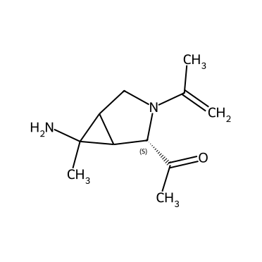 C=C(C)N1CC2C([C@H]1C(C)=O)C2(C)N